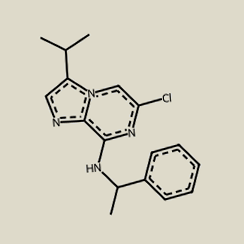 CC(C)c1cnc2c(NC(C)c3ccccc3)nc(Cl)cn12